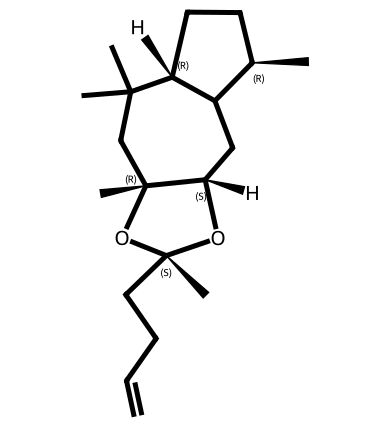 C=CCC[C@@]1(C)O[C@H]2CC3[C@H](C)CC[C@H]3C(C)(C)C[C@@]2(C)O1